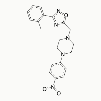 Cc1ccccc1-c1noc(CN2CCN(c3ccc([N+](=O)[O-])cc3)CC2)n1